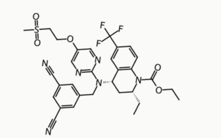 CCOC(=O)N1c2ccc(C(F)(F)F)cc2[C@@H](N(Cc2cc(C#N)cc(C#N)c2)c2ncc(OCCS(C)(=O)=O)cn2)C[C@H]1CC